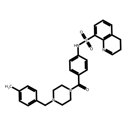 Cc1ccc(CN2CCN(C(=O)c3ccc(NS(=O)(=O)c4cccc5c4N=CCC5)cc3)CC2)cc1